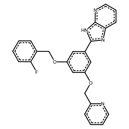 Fc1ccccc1COc1cc(OCc2ccccn2)cc(-c2nc3cccnc3[nH]2)c1